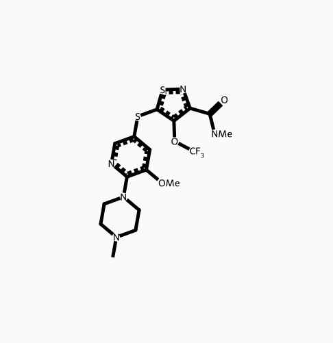 CNC(=O)c1nsc(Sc2cnc(N3CCN(C)CC3)c(OC)c2)c1OC(F)(F)F